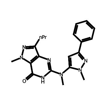 CCCc1nn(C)c2c(=O)[nH]c(N(C)c3cc(-c4ccccc4)nn3C)nc12